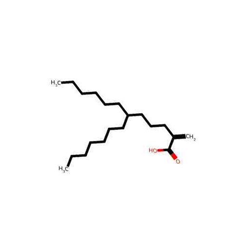 C=C(CCCC(CCCCCC)CCCCCCC)C(=O)O